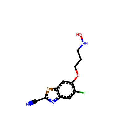 N#Cc1nc2cc(F)c(OCCCNO)cc2s1